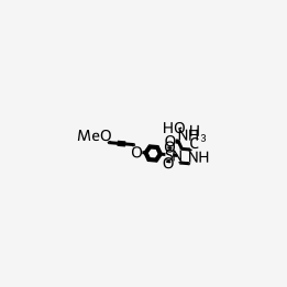 COCC#CCOc1ccc(S(=O)(=O)N2CCNC(C)C2C(=O)NO)cc1